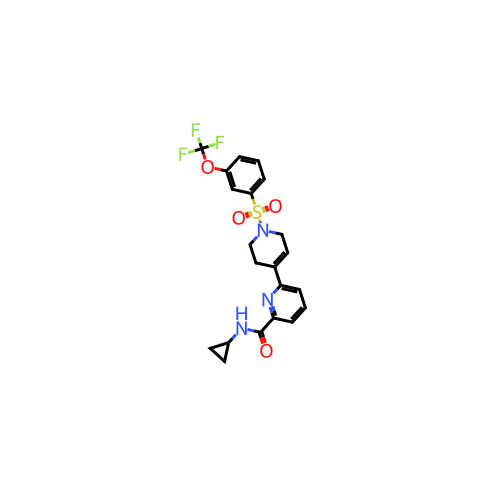 O=C(NC1CC1)c1cccc(C2=CCN(S(=O)(=O)c3cccc(OC(F)(F)F)c3)CC2)n1